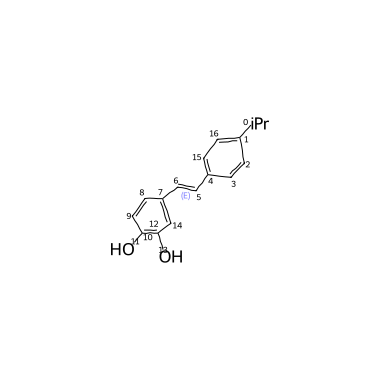 CC(C)c1ccc(/C=C/c2ccc(O)c(O)c2)cc1